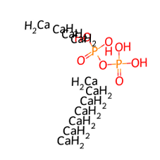 O=P(O)(O)OP(=O)(O)O.[CaH2].[CaH2].[CaH2].[CaH2].[CaH2].[CaH2].[CaH2].[CaH2].[CaH2].[CaH2].[CaH2]